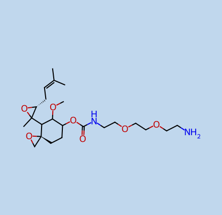 COC1C(OC(=O)NCCOCCOCCN)CC[C@]2(CO2)C1C1(C)O[C@@H]1CC=C(C)C